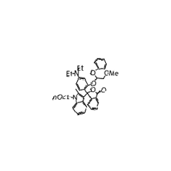 CCCCCCCCn1c(C)c(C2(c3ccc(N(CC)CC)cc3OC(COC)Oc3ccccc3)OC(=O)c3ccccc32)c2ccccc21